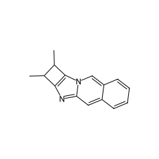 CC1c2nc3cc4ccccc4cn3c2C1C